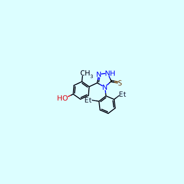 CCc1cccc(CC)c1-n1c(-c2ccc(O)cc2C)n[nH]c1=S